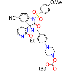 CCOc1ncccc1C1(NCc2ccc(N3CCN(OC(=O)OC(C)(C)C)CC3)cc2)C(=O)N(S(=O)(=O)c2ccc(OC)cc2)c2ccc(C#N)cc21